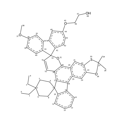 CCC1(CC)CCC2(CC1)c1ccccc1-c1c2c2c(c3cc4c(cc13)OC(C)(C)S4)OC(c1ccc(OC)cc1)(c1ccc(OCCO)cc1)C=C2